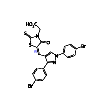 O=C(O)CN1C(=O)/C(=C\c2cn(-c3ccc(Br)cc3)nc2-c2ccc(Br)cc2)SC1=S